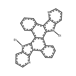 CCn1c2cccnc2c2c3ccccc3c3c(c4ccccc4c4c5ncccc5n(CC)c43)c21